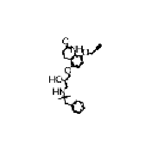 C#CCOc1ccc(OCC(O)CNC(C)(C)Cc2ccccc2)c2c1NC(=O)CC2